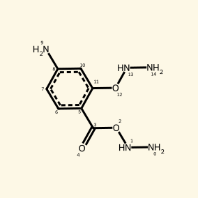 NNOC(=O)c1ccc(N)cc1ONN